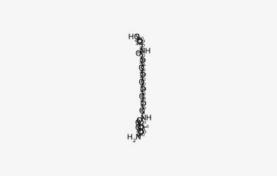 Cc1c(CC(=O)NCCOCCOCCOCCOCCOCCOCCOCCOCCC(=O)NCCc2ccc(O)cc2)c(=O)oc2cc(N)ccc12